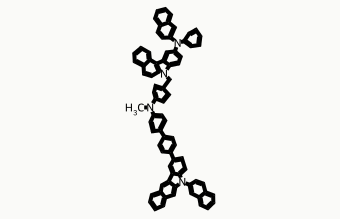 CN(c1ccc(Cn2c3ccc(N(c4ccccc4)c4ccc5ccccc5c4)cc3c3c4ccccc4ccc32)cc1)c1ccc(-c2ccc(-c3ccc4c(c3)c3cc5ccccc5cc3n4-c3ccc4ccccc4c3)cc2)cc1